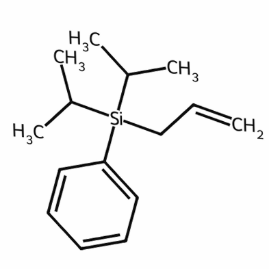 C=CC[Si](c1ccccc1)(C(C)C)C(C)C